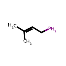 CC(C)=CCP